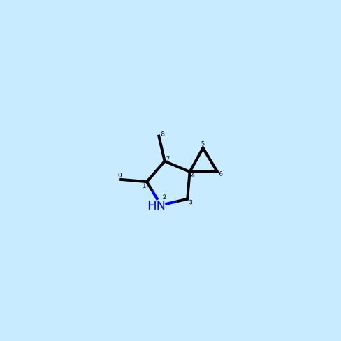 CC1NCC2(CC2)C1C